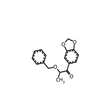 CC(OCc1ccccc1)C(=O)c1ccc2c(c1)OCO2